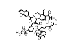 CC(CCCC(=O)O)(OC(=O)[C@@H](Cc1cccc(S(C)(=O)=O)c1)C1c2cc(Cl)c(C(N)=O)c(Cl)c2CCN1C(=O)c1ccc2ccoc2c1)[C@H]1CCSS1(=O)=O